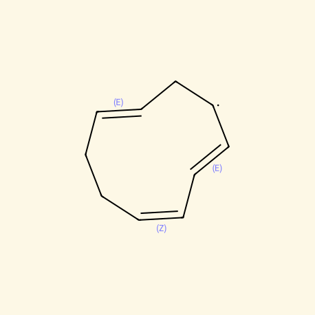 [CH]1/C=C/C=C\CC/C=C/C1